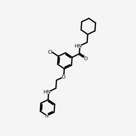 O=C(NCC1CCCCC1)c1cc(Cl)cc(OCCNc2ccncc2)c1